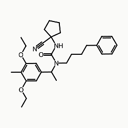 CCOc1cc(C(C)N(CCCCc2ccccc2)C(=O)NC2(C#N)CCCC2)cc(OCC)c1C